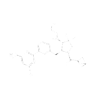 CCSN[C@@H]1[C@H](Cc2cccc(-c3nc(C)cc(C)n3)c2)N(C(=O)C23CC(C2)C3)CC1(F)F